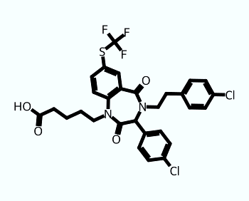 O=C(O)CCCCN1C(=O)C(c2ccc(Cl)cc2)N(CCc2ccc(Cl)cc2)C(=O)c2cc(SC(F)(F)F)ccc21